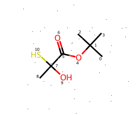 CC(C)(C)OC(=O)C(C)(O)S